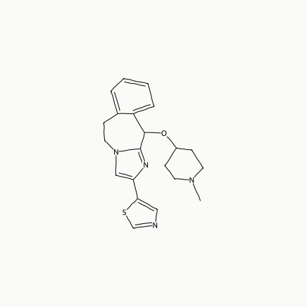 CN1CCC(OC2c3ccccc3CCn3cc(-c4cncs4)nc32)CC1